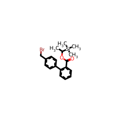 CC(OC(=O)c1ccccc1-c1ccc(CBr)cc1)[Si](C)(C)C